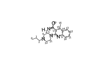 CCCN1CCN(c2nc3cc[c]cc3c(C)c2C(N)=O)CC1